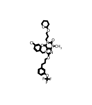 Cn1c(=O)n(CCCOC2CCCCO2)c(=O)c2c1nc(OCCCc1cccc(OC(F)(F)F)c1)n2Cc1ccc(Cl)cc1